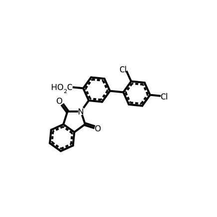 O=C(O)c1ccc(-c2ccc(Cl)cc2Cl)cc1N1C(=O)c2ccccc2C1=O